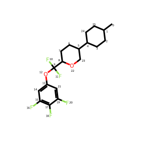 CC1CCC(C2CCC(C(F)(F)Oc3cc(F)c(F)c(F)c3)OC2)CC1